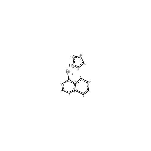 Nc1cccc2ccccc12.c1cn[nH]c1